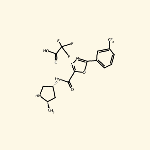 C[C@@H]1C[C@@H](NC(=O)c2nnc(-c3cccc(C(F)(F)F)c3)o2)CN1.O=C(O)C(F)(F)F